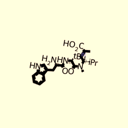 C/C(=C\[C@H](C(C)C)N(C)C(=O)[C@@H](NC(=O)[C@@H](N)Cc1c[nH]c2ccccc12)C(C)(C)C)C(=O)O